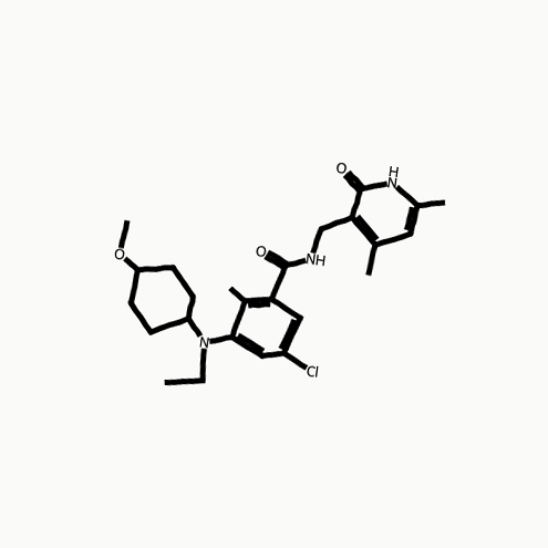 CCN(c1cc(Cl)cc(C(=O)NCc2c(C)cc(C)[nH]c2=O)c1C)C1CCC(OC)CC1